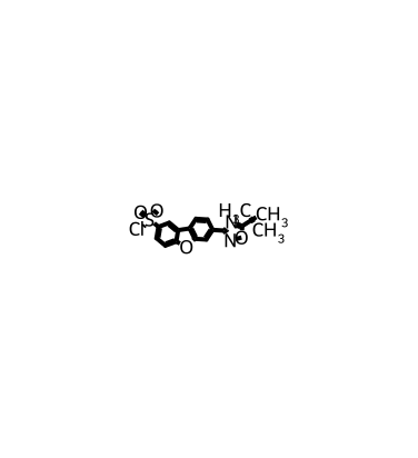 CC(C)(C)c1nc(-c2ccc3c(c2)oc2ccc(S(=O)(=O)Cl)cc23)no1